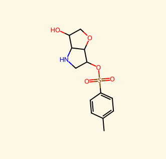 Cc1ccc(S(=O)(=O)OC2CNC3C(O)COC23)cc1